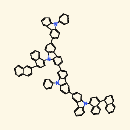 c1ccc(-n2c3ccccc3c3cc(-c4ccc5c(c4)c4ccc(-c6ccc7c8cc(-c9ccc%10c(c9)c9ccccc9n%10-c9ccc(-c%10cccc%11ccccc%10%11)c%10ccccc9%10)ccc8n(-c8ccccc8)c7c6)cc4n5-c4ccc(-c5ccc6ccccc6c5)c5ccccc45)ccc32)cc1